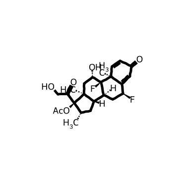 CC(=O)O[C@]1(C(=O)CO)[C@@H](C)C[C@H]2[C@@H]3C[C@H](F)C4=CC(=O)C=C[C@]4(C)[C@@]3(F)[C@@H](O)C[C@@]21C